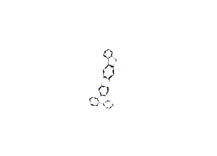 CC1(C)c2ccccc2-c2cc3c(cc21)Oc1ccc(-c2ccccc2-c2cccnc2)cc1O3